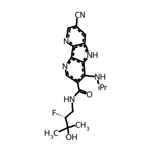 CC(C)Nc1c(C(=O)NC[C@@H](F)C(C)(C)O)cnc2c1[nH]c1cc(C#N)cnc12